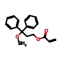 C=CC(=O)OCCC(O[SiH3])(c1ccccc1)c1ccccc1